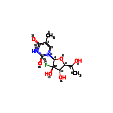 Cc1cn([C@H]2O[C@@H](C(C)O)[C@H](O)[C@]2(O)F)c(=O)[nH]c1=O